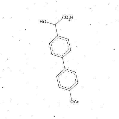 CC(=O)Oc1ccc(-c2ccc(C(O)C(=O)O)cc2)cc1